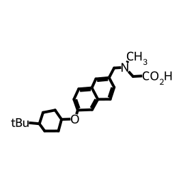 CN(CC(=O)O)Cc1ccc2cc(OC3CCC(C(C)(C)C)CC3)ccc2c1